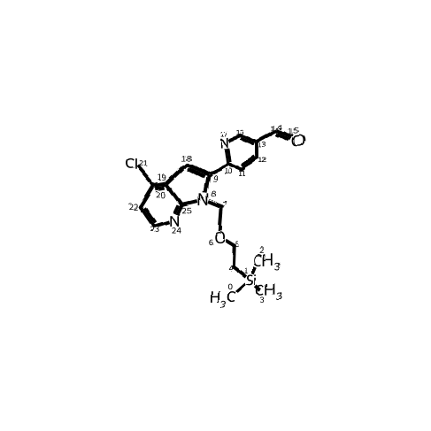 C[Si](C)(C)CCOCn1c(-c2ccc(C=O)cn2)cc2c(Cl)ccnc21